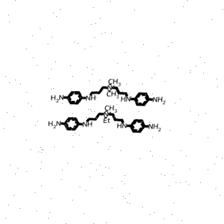 CC[N+](C)(CCCNc1ccc(N)cc1)CCCNc1ccc(N)cc1.C[N+](C)(CCCNc1ccc(N)cc1)CCCNc1ccc(N)cc1